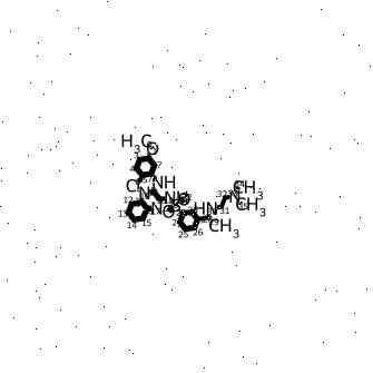 COc1ccc(Cl)c(Nc2nc3ccccc3nc2NS(=O)(=O)c2cccc(C(C)NCCN(C)C)c2)c1